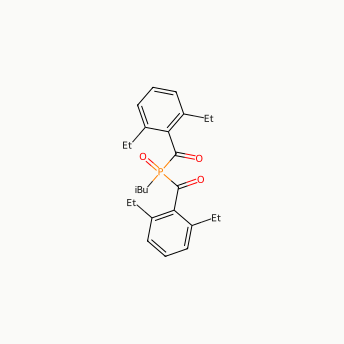 CCc1cccc(CC)c1C(=O)P(=O)(C(=O)c1c(CC)cccc1CC)C(C)CC